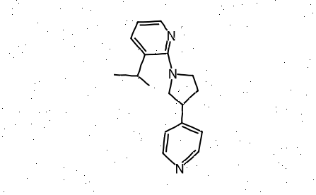 CC(C)c1cccnc1N1CCC(c2ccncc2)C1